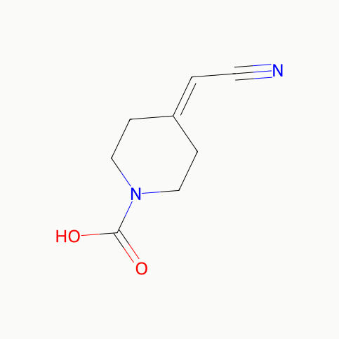 N#CC=C1CCN(C(=O)O)CC1